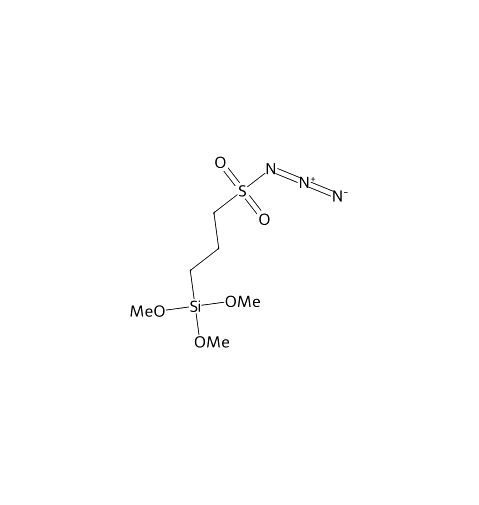 CO[Si](CCCS(=O)(=O)N=[N+]=[N-])(OC)OC